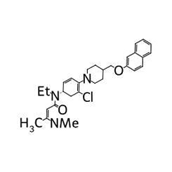 CCN(C(=O)/C=C(/C)NC)[C@@H]1C=CC(N2CCC(COc3ccc4ccccc4c3)CC2)=C(Cl)C1